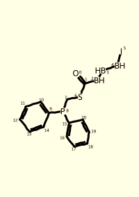 O=C(BBBI)SCP(c1ccccc1)c1ccccc1